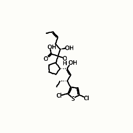 C/C=C\C[C@@H](O)C(O)(C(=O)O)C1CCC[C@H]1/C(O)=C\[C@@H](CC)c1cc(Cl)sc1Cl